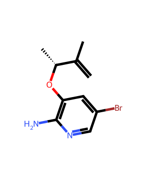 C=C(C)[C@@H](C)Oc1cc(Br)cnc1N